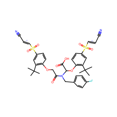 CC(C)(C)c1cc(S(=O)(=O)/C=C/C#N)ccc1OCC(=O)N(Cc1ccc(F)cc1)C(Oc1ccc(S(=O)(=O)/C=C/C#N)cc1C(C)(C)C)C(=O)O